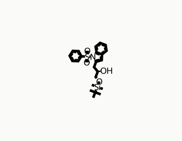 CC(C)(C)[Si](C)(C)OC[C@H](O)Cc1cc2ccccc2n1S(=O)(=O)c1ccccc1